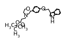 CC(C)(C)OC(=O)CCN1CCOC(c2ccc(OCCc3c[nH]c4ccccc34)cc2)C1